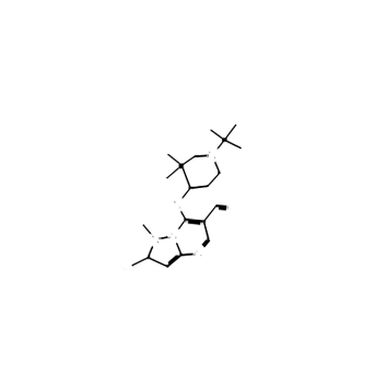 CN1C(Br)C=C2N=CC(C=O)=C(NC3CCN(C(C)(C)C)CC3(C)C)N21